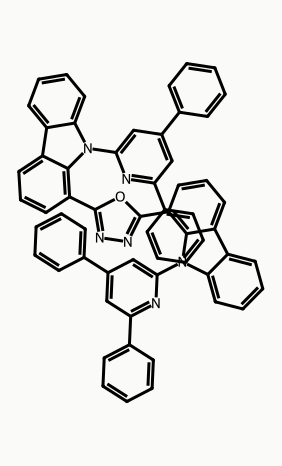 c1ccc(-c2cc(-c3ccccc3)nc(-n3c4ccccc4c4cccc(-c5nnc(-c6cccc7c8ccccc8n(-c8cc(-c9ccccc9)cc(-c9ccccc9)n8)c67)o5)c43)c2)cc1